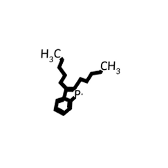 CCCCCC1=C(CCCCC)c2ccccc2[P]1